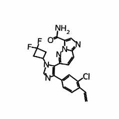 C=Cc1ccc(-c2ncn(C3CC(F)(F)C3)c2-c2ccc3ncc(C(N)=O)n3n2)cc1Cl